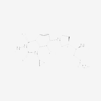 COCC[C@H](N)[C@@H]1CCN(c2ccc3c(=O)n(N)c(=O)n(C4CC4)c3c2C)C1